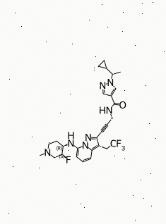 CC(C1CC1)n1cc(C(=O)NCC#Cc2nn3c(N[C@@H]4CCN(C)C[C@@H]4F)cccc3c2CC(F)(F)F)cn1